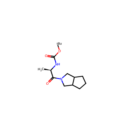 C[C@@H](NC(=O)OC(C)(C)C)C(=O)N1CC2CCCC2C1